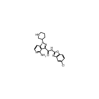 Nc1nccc2c1c(C(=O)Nc1nc3cc(Cl)ccc3o1)nn2C1CCCNC1